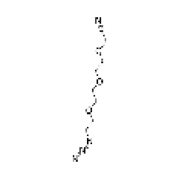 N#CCOCCOCCOCCN=[N+]=[N-]